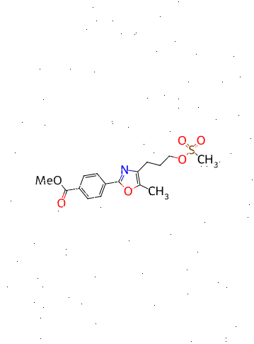 COC(=O)c1ccc(-c2nc(CCCOS(C)(=O)=O)c(C)o2)cc1